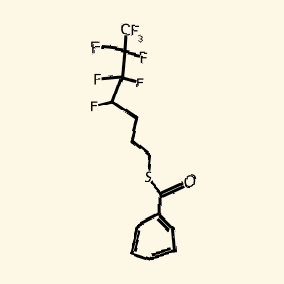 O=C(SCCCC(F)C(F)(F)C(F)(F)C(F)(F)F)c1ccccc1